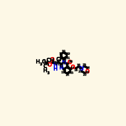 C[C@H](NC(=O)OC(C)(C)C)c1nc2cccc(OCCN3CCOCC3)c2c(=O)n1-c1ccccc1